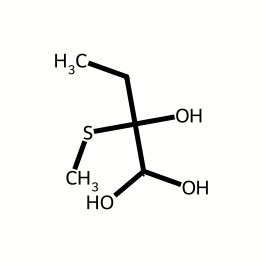 CCC(O)(SC)[C](O)O